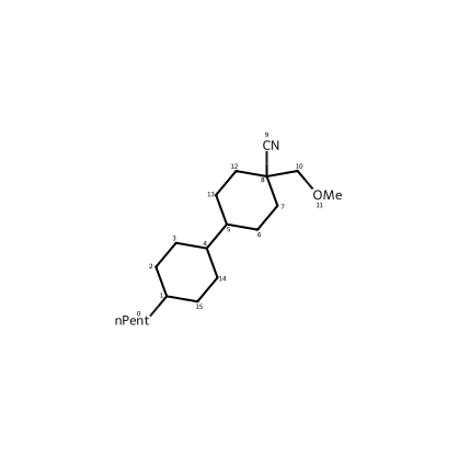 CCCCCC1CCC(C2CCC(C#N)(COC)CC2)CC1